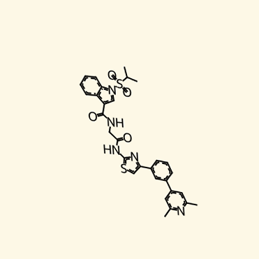 Cc1cc(-c2cccc(-c3csc(NC(=O)CNC(=O)c4cn(S(=O)(=O)C(C)C)c5ccccc45)n3)c2)cc(C)n1